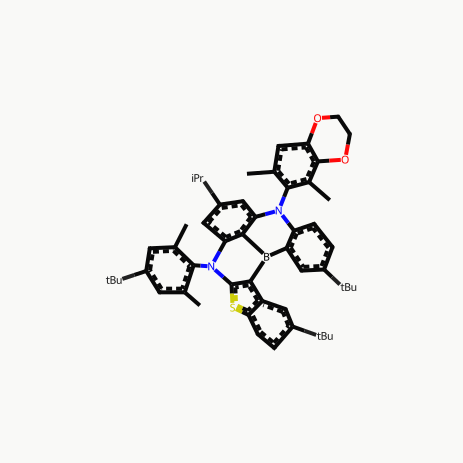 Cc1cc(C(C)(C)C)cc(C)c1N1c2cc(C(C)C)cc3c2B(c2cc(C(C)(C)C)ccc2N3c2c(C)cc3c(c2C)OCCO3)c2c1sc1ccc(C(C)(C)C)cc21